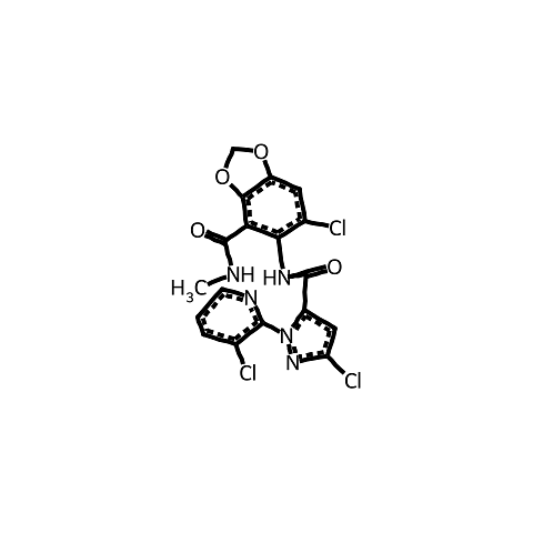 CNC(=O)c1c(NC(=O)c2cc(Cl)nn2-c2ncccc2Cl)c(Cl)cc2c1OCO2